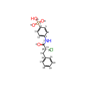 O=C(Nc1ccc(S(=O)(=O)O)cc1)[C@H](Cl)Cc1ccccc1